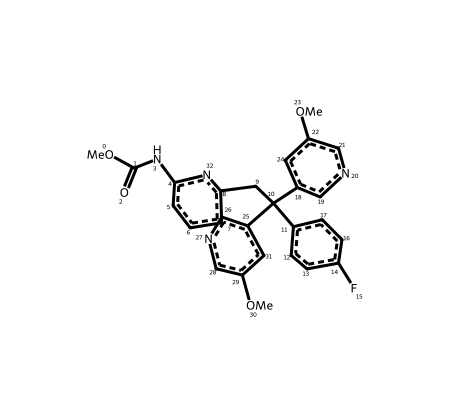 COC(=O)Nc1cccc(CC(c2ccc(F)cc2)(c2cncc(OC)c2)c2cncc(OC)c2)n1